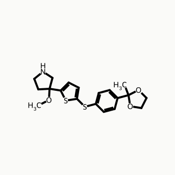 COC1(c2ccc(Sc3ccc(C4(C)OCCO4)cc3)s2)CCNC1